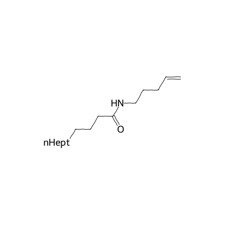 C=CCCCNC(=O)CCCCCCCCCC